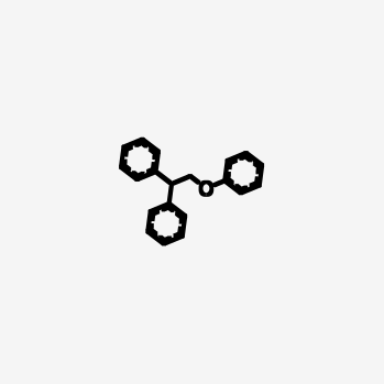 c1ccc(OCC(c2ccccc2)c2ccccc2)cc1